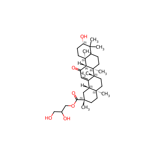 CC1(C)C2CC[C@]3(C)[C@H](C(=O)C=C4[C@H]5C[C@@](C)(C(=O)OCC(O)CO)CC[C@]5(C)CC[C@]43C)[C@@]2(C)CC[C@@H]1O